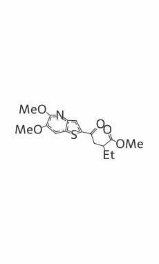 CCC(CC(=O)c1cc2nc(OC)c(OC)cc2s1)C(=O)OC